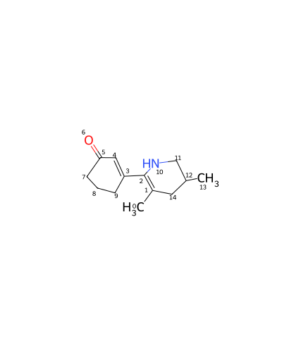 CC1=C(C2=CC(=O)CCC2)NCC(C)C1